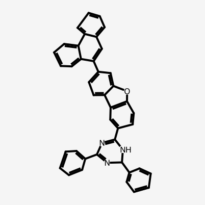 c1ccc(C2=NC(c3ccccc3)NC(c3ccc4oc5cc(-c6cc7ccccc7c7ccccc67)ccc5c4c3)=N2)cc1